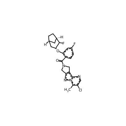 Cc1c(Cl)cnc2c3c(nn12)CN(C(=O)c1ccc(F)cc1O[C@@H]1C[C@@H]2CC[C@H](C2)C1F)C3